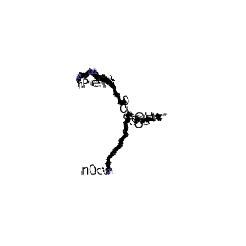 CCCCC/C=C\C/C=C\CCCCCCCC(=O)OC[C@H](COP(=O)(O)OCC[N+](C)(C)C)OC(=O)CCCCCCCCCCC/C=C\CCCCCCCC